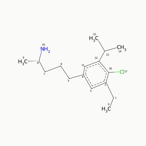 CCc1cc(CCC[C@H](C)N)cc(C(C)C)c1Cl